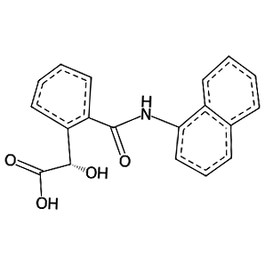 O=C(Nc1cccc2ccccc12)c1ccccc1[C@H](O)C(=O)O